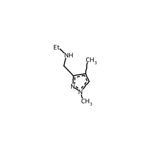 CCNCc1nn(C)cc1C